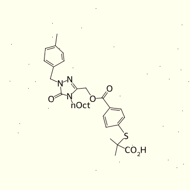 CCCCCCCCn1c(COC(=O)c2ccc(SC(C)(C)C(=O)O)cc2)nn(Cc2ccc(C)cc2)c1=O